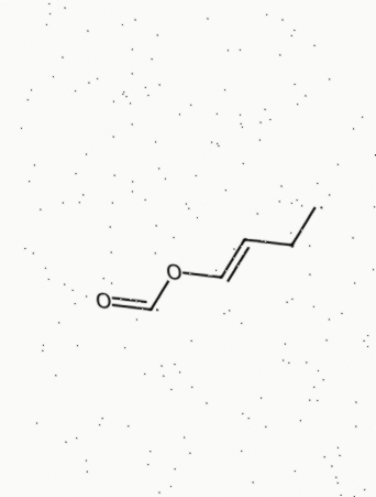 [CH2]CC=CO[C]=O